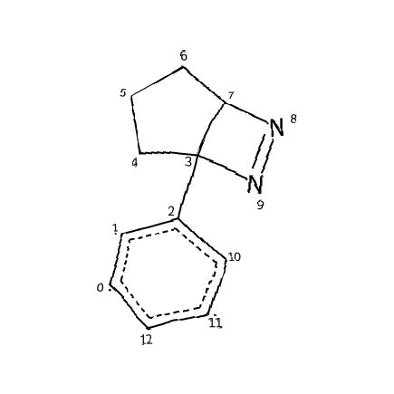 [c]1[c]c(C23CCCC2N=N3)c[c]c1